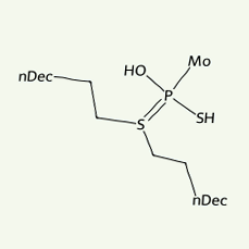 CCCCCCCCCCCCS(CCCCCCCCCCCC)=[P](O)(S)[Mo]